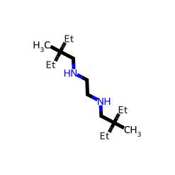 CCC(C)(CC)CNCCNCC(C)(CC)CC